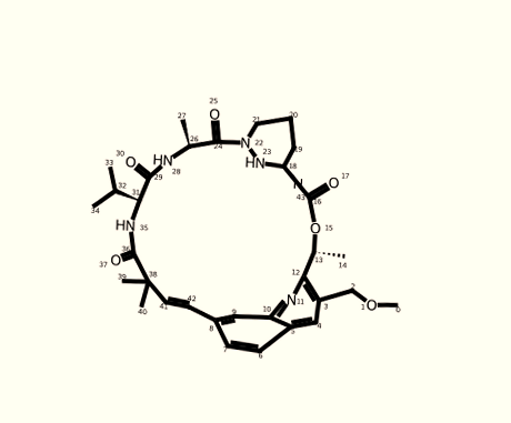 COCc1cc2ccc3cc2nc1[C@@H](C)OC(=O)[C@@H]1CCCN(N1)C(=O)[C@H](C)NC(=O)[C@H](C(C)C)NC(=O)C(C)(C)/C=C/3